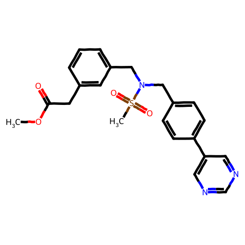 COC(=O)Cc1cccc(CN(Cc2ccc(-c3cncnc3)cc2)S(C)(=O)=O)c1